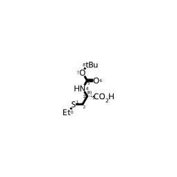 CCSC[C@H](NC(=O)OC(C)(C)C)C(=O)O